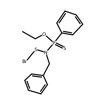 CCOP(=S)(c1ccccc1)N(Cc1ccccc1)SBr